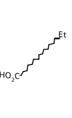 CC/C=C/CCCCCCCCCCCCCC(=O)O